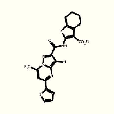 CCOC(=O)c1c(NC(=O)c2nn3c(C(F)(F)F)cc(-c4cccs4)nc3c2Cl)sc2c1CCCC2